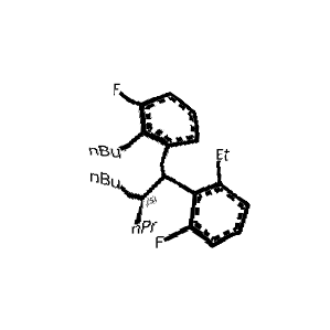 CCCCc1c(F)cccc1C(c1c(F)cccc1CC)[C@@H](CCC)CCCC